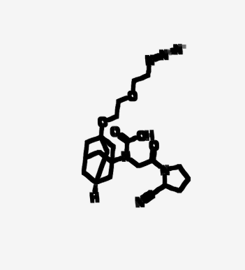 N#CC1CCCN1C(=O)CN(C(=O)O)C12CC3C[C@H](CC(OCCOCCN=[N+]=[N-])(C3)C1)C2